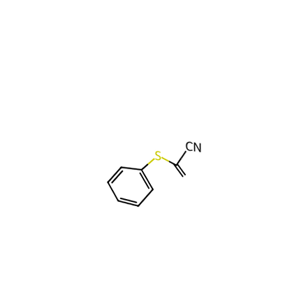 C=C(C#N)Sc1ccccc1